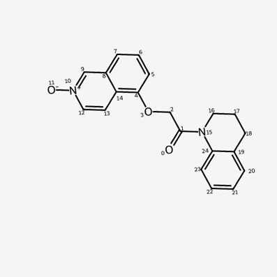 O=C(COc1cccc2c[n+]([O-])ccc12)N1CCCc2ccccc21